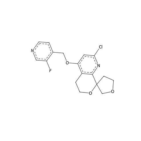 Fc1cnccc1COc1cc(Cl)nc2c1CCOC21CCOC1